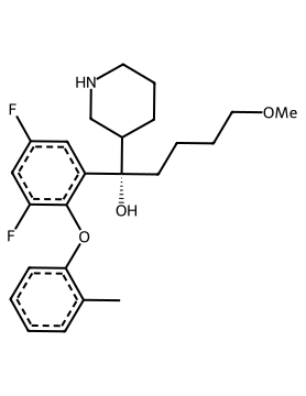 COCCCC[C@@](O)(c1cc(F)cc(F)c1Oc1ccccc1C)C1CCCNC1